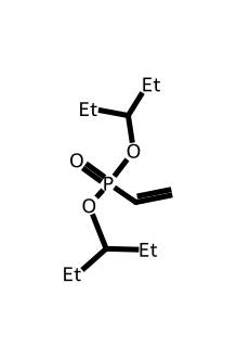 C=CP(=O)(OC(CC)CC)OC(CC)CC